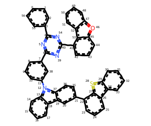 c1ccc(-c2nc(-c3cccc(-n4c5ccccc5c5cc(-c6cccc7c6sc6ccccc67)ccc54)c3)nc(-c3cccc4oc5ccccc5c34)n2)cc1